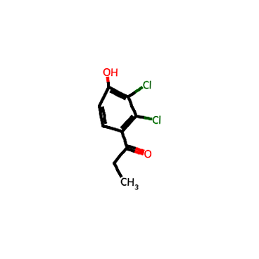 CCC(=O)c1ccc(O)c(Cl)c1Cl